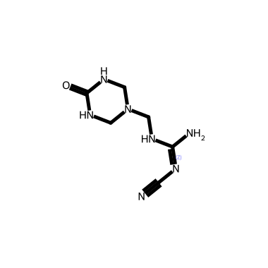 N#C/N=C(/N)NCN1CNC(=O)NC1